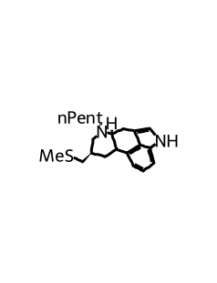 CCCCCN1C[C@H](CSC)CC2c3cccc4[nH]cc(c34)C[C@H]21